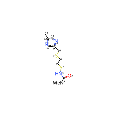 CNC(=O)NSCCSCc1cnc(C)cn1